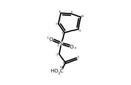 C=C(CS(=O)(=O)c1ccccc1)C(=O)O